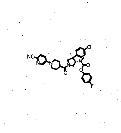 CN(C(=O)Oc1ccc(F)cc1)[C@@H]1CN(C(=O)C2CCN(c3ccc(C#N)nc3)CC2)C[C@@]1(C)c1ccc(Cl)cc1